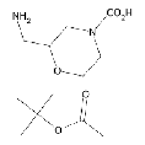 CC(=O)OC(C)(C)C.NCC1CN(C(=O)O)CCO1